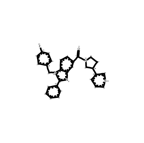 O=C(c1ccc2c(c1)nc(-c1ccccc1)n2Cc1ccc(F)cc1)N1CCC(c2cccnc2)C1